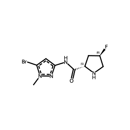 Cn1nc(NC(=O)[C@@H]2C[C@@H](F)CN2)cc1Br